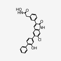 O=C(Cc1cccc(-c2cc3cc(-c4ccc(-c5ccccc5)c(O)c4)c(Cl)cc3[nH]c2=O)c1)NO